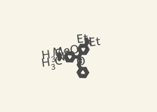 CCN(CC)c1ccc(C(OCc2ccccc2)c2ccc(N(C)C)cc2)c(OC)c1